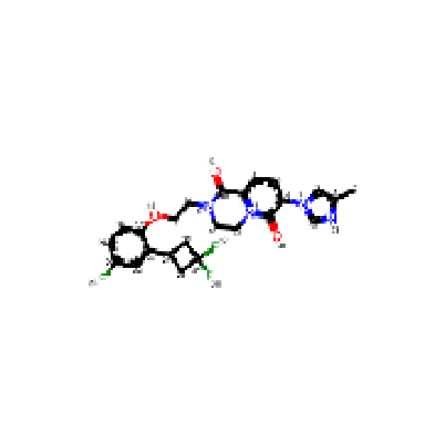 Cc1cn(-c2ccc3n(c2=O)CCN(CCOc2ccc(F)cc2C2CC(F)(F)C2)C3=O)cn1